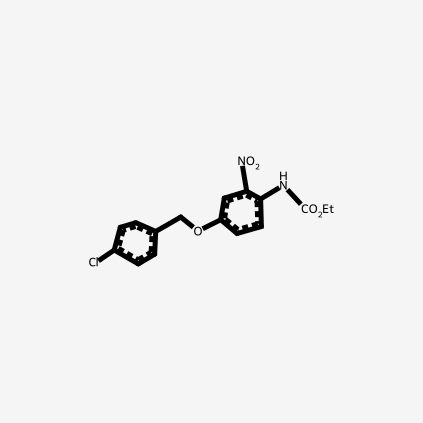 CCOC(=O)Nc1ccc(OCc2ccc(Cl)cc2)cc1[N+](=O)[O-]